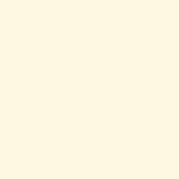 CCc1ccc(C2CCc3ccc(C4OC(COC(C)=O)C(OC(C)=O)C(OC(C)=O)C4OC(C)=O)cc32)cc1